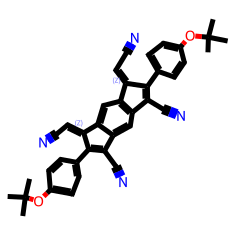 CC(C)(C)Oc1ccc(C2=C(C#N)c3cc4c(cc3/C2=C/C#N)/C(=C/C#N)C(c2ccc(OC(C)(C)C)cc2)=C4C#N)cc1